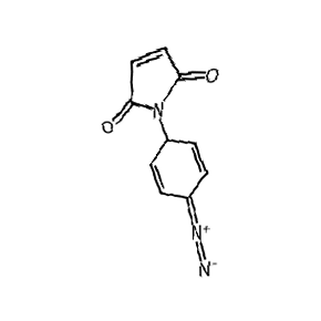 [N-]=[N+]=C1C=CC(N2C(=O)C=CC2=O)C=C1